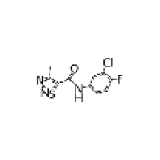 Cc1nnsc1C(=O)Nc1ccc(F)c(Cl)c1